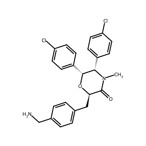 CN1C(=O)[C@@H](Cc2ccc(CN)cc2)O[C@H](c2ccc(Cl)cc2)[C@@H]1c1ccc(Cl)cc1